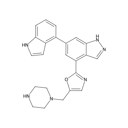 c1cc(-c2cc(-c3ncc(CN4CCNCC4)o3)c3cn[nH]c3c2)c2cc[nH]c2c1